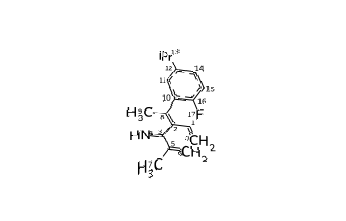 C=C/C(C(=N)C(=C)C)=C(/C)c1cc(C(C)C)ccc1F